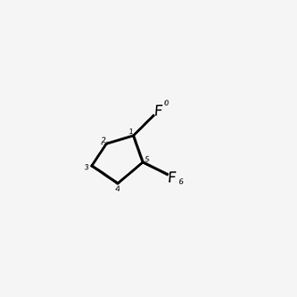 FC1[CH]CCC1F